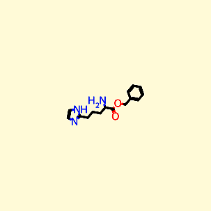 NC(CCCc1ncc[nH]1)C(=O)OCc1ccccc1